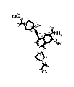 CC(C)Oc1cc2c(O[C@@H]3CCCN(C(=O)CC#N)C3)ncc(C#CC3(O)CCN(C(=O)OC(C)(C)C)CC3)c2cc1C(N)=O